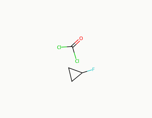 FC1CC1.O=C(Cl)Cl